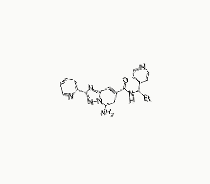 CCC(NC(=O)c1cc(N)n2nc(-c3ccccn3)nc2c1)c1ccncc1